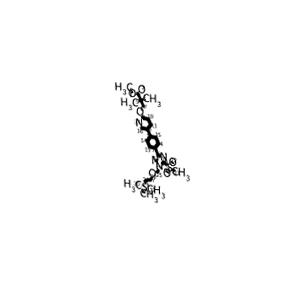 COC(=O)C(C)(C)COc1ccc(-c2ccc(-c3nc(S(C)(=O)=O)n(COCCS(C)(C)C)n3)cc2)cn1